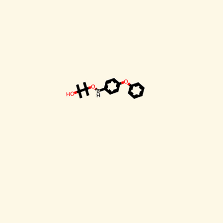 CC(C)(O)C(C)(C)OBc1ccc(Oc2ccccc2)cc1